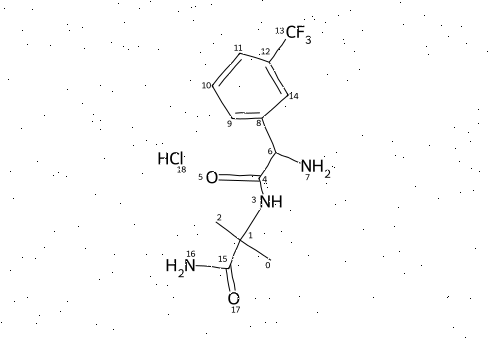 CC(C)(NC(=O)C(N)c1cccc(C(F)(F)F)c1)C(N)=O.Cl